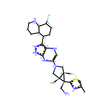 Cc1csc([C@]2(CN)[C@@H]3CN(C4=CNc5c(C6CCC(F)C7NCCCC67)n[nH]c5N4)C[C@@H]32)n1